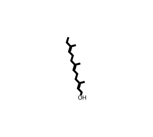 CC/C(C)=C/CC/C(C)=C/CC/C(C)=C/CO